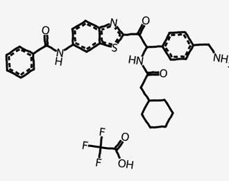 NCc1ccc(C(NC(=O)CC2CCCCC2)C(=O)c2nc3ccc(NC(=O)c4ccccc4)cc3s2)cc1.O=C(O)C(F)(F)F